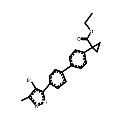 CCOC(=O)C1(c2ccc(-c3ccc(-c4onc(C)c4Br)cc3)cc2)CC1